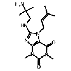 CC(C)=CCn1c(NCC(C)(C)N)nc2c1c(=O)n(C)c(=O)n2C